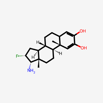 C[C@]12CC[C@H]3[C@@H](CCC4C=C(O)C(O)=C[C@@]43C)[C@@H]1C[C@@H](F)[C@H]2N